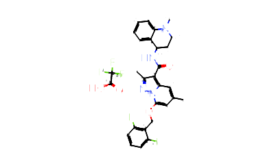 Cc1cc(OCc2c(F)cccc2F)n2nc(C)c(C(=O)NC3CCN(C)c4ccccc43)c2c1.O=C(O)C(F)(F)F